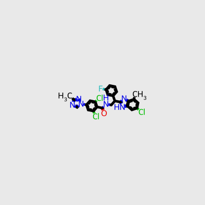 Cc1ncn(-c2cc(Cl)c(C(=O)NCC(c3cccc(F)c3)c3nc4c(C)cc(Cl)cc4[nH]3)c(Cl)c2)n1